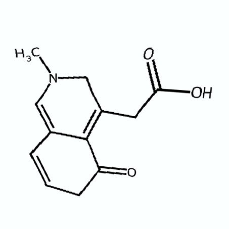 CN1C=C2C=CCC(=O)C2=C(CC(=O)O)C1